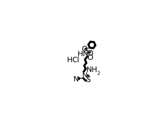 Cl.N#C[C@@H]1CSCN1C[C@@H](N)CCCC(=O)NS(=O)(=O)C1CCCCC1